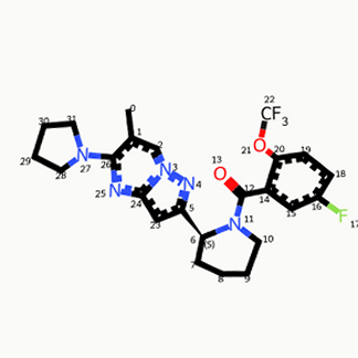 Cc1cn2nc([C@@H]3CCCCN3C(=O)c3cc(F)ccc3OC(F)(F)F)cc2nc1N1CCCC1